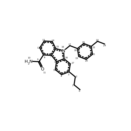 CCCc1c[c]c2c3c(C(N)=O)cccc3n(Cc3cccc(CC)c3)c2c1